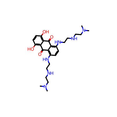 CN(C)CCNCCNc1ccc(NCCNCCN(C)C)c2c1C(=O)c1c(O)ccc(O)c1C2=O